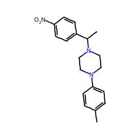 Cc1ccc(N2CCN(C(C)c3ccc([N+](=O)[O-])cc3)CC2)cc1